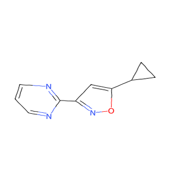 c1cnc(-c2cc(C3CC3)on2)nc1